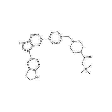 CC(C)(C)CC(=O)N1CCN(Cc2ccc(-c3cnc4[nH]cc(-c5ccc6c(c5)CCN6)c4c3)cc2)CC1